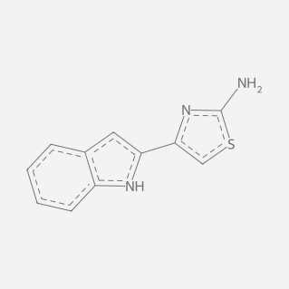 Nc1nc(-c2cc3ccccc3[nH]2)cs1